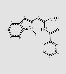 Cn1c(/C=C(\NC(=O)c2ccccc2)C(=O)O)cc2ccccc21